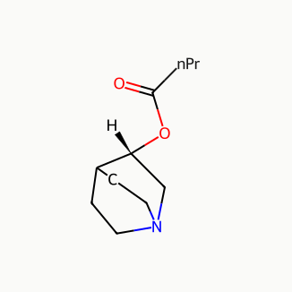 CCCC(=O)O[C@@H]1CN2CCC1CC2